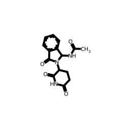 CC(=O)NC1c2ccccc2C(=O)N1C1CCC(=O)NC1=O